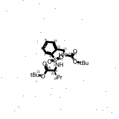 CC(C)[C@H](NS(=O)(=O)c1ccccc1CNC(=O)OC(C)(C)C)C(=O)OC(C)(C)C